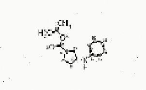 C=C(C)OC(=O)N1CC[C@@H](Nc2cnccn2)C1